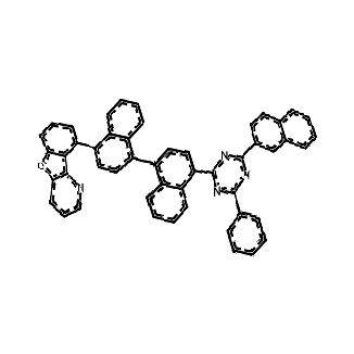 c1ccc(-c2nc(-c3ccc4ccccc4c3)nc(-c3ccc(-c4ccc(-c5cccc6oc7cccnc7c56)c5ccccc45)c4ccccc34)n2)cc1